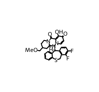 COCC1CCN2C(=O)c3c(O)c(=O)ccn3N([C@@H]3c4ccccc4SCc4c3ccc(F)c4F)[C@@H]2C1